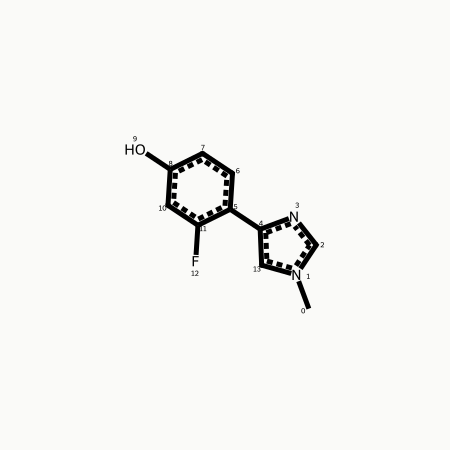 Cn1cnc(-c2ccc(O)cc2F)c1